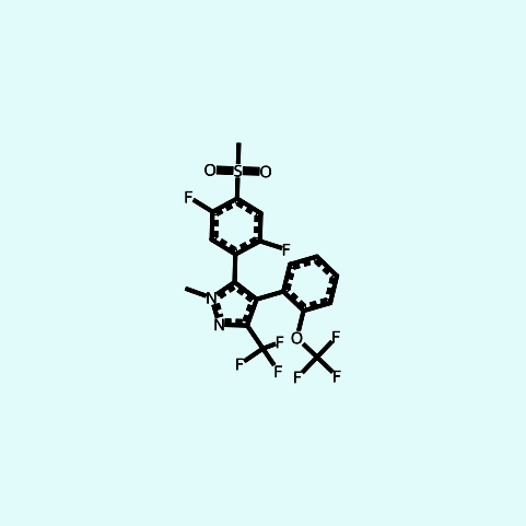 Cn1nc(C(F)(F)F)c(-c2ccccc2OC(F)(F)F)c1-c1cc(F)c(S(C)(=O)=O)cc1F